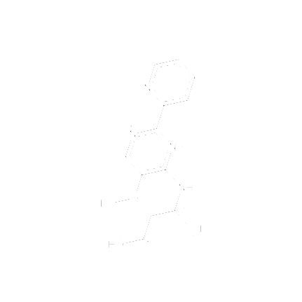 COc1cnc(-c2ccccn2)nc1NC(C)CCO